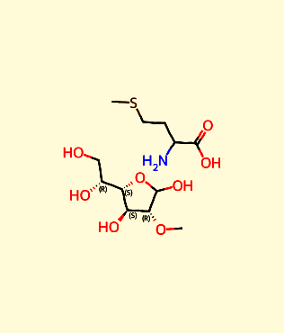 CO[C@H]1C(O)O[C@@H]([C@H](O)CO)[C@@H]1O.CSCCC(N)C(=O)O